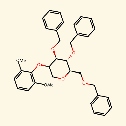 COc1cccc(OC)c1O[C@@H]1[CH]O[C@H](COCc2ccccc2)[C@@H](OCc2ccccc2)[C@@H]1OCc1ccccc1